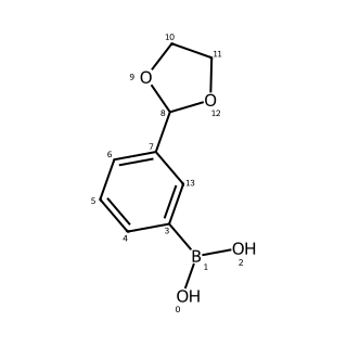 OB(O)c1cccc(C2OCCO2)c1